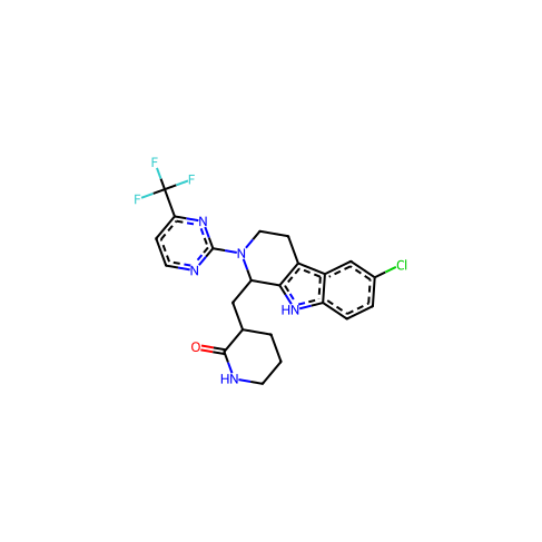 O=C1NCCCC1CC1c2[nH]c3ccc(Cl)cc3c2CCN1c1nccc(C(F)(F)F)n1